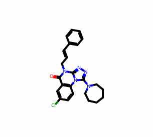 O=c1c2cc(Cl)ccc2n2c(N3CCCCCC3)nnc2n1CC=Cc1ccccc1